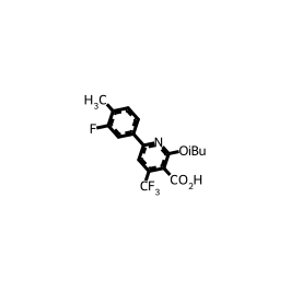 Cc1ccc(-c2cc(C(F)(F)F)c(C(=O)O)c(OCC(C)C)n2)cc1F